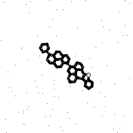 c1ccc(-c2ccc3ccc4c(-c5cc6cccc7c8c9ccccc9oc8c8cccc5c8c67)ccc5ccc2c3c54)cc1